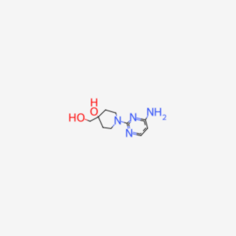 Nc1ccnc(N2CCC(O)(CO)CC2)n1